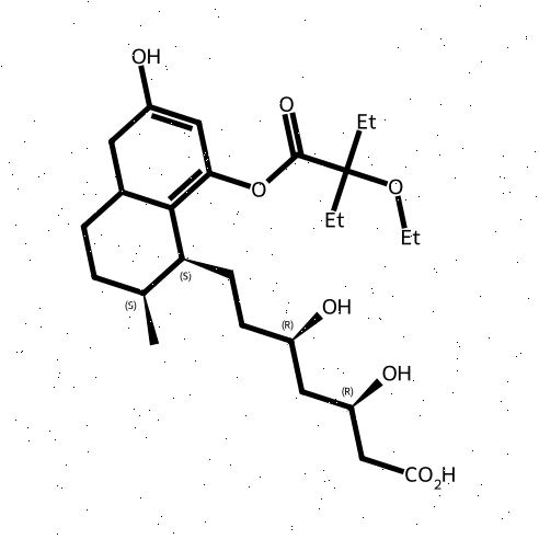 CCOC(CC)(CC)C(=O)OC1=C2C(CC[C@H](C)[C@@H]2CC[C@@H](O)C[C@@H](O)CC(=O)O)CC(O)=C1